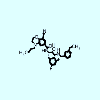 CCCCN1CCOc2c(C#N)cc(C(=O)N[C@@H](Cc3cc(F)cc(F)c3)[C@@H](O)CNCc3cccc(CC)c3)cc21